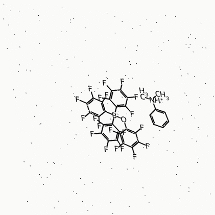 C[NH+](C)c1ccccc1.Fc1c(F)c(F)c(O[B-](c2c(F)c(F)c(F)c(F)c2F)(c2c(F)c(F)c(F)c(F)c2F)c2c(F)c(F)c(F)c(F)c2F)c(F)c1F